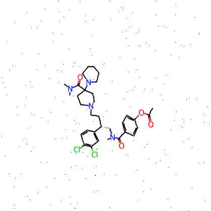 CC(=O)Oc1ccc(C(=O)N(C)C[C@@H](CCN2CCC(C(=O)N(C)C)(N3CCCCC3)CC2)c2ccc(Cl)c(Cl)c2)cc1